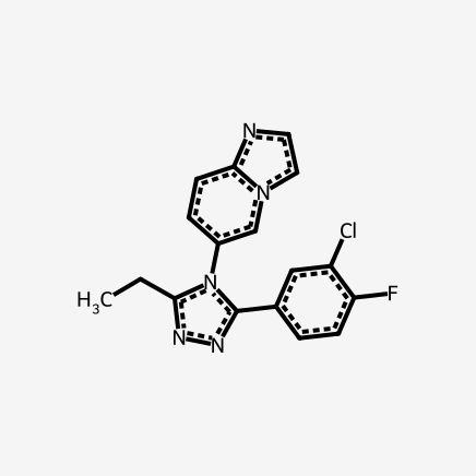 CCc1nnc(-c2ccc(F)c(Cl)c2)n1-c1ccc2nccn2c1